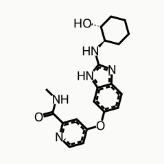 CNC(=O)c1cc(Oc2ccc3nc(N[C@@H]4CCCC[C@H]4O)[nH]c3c2)ccn1